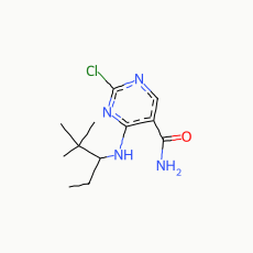 CCC(Nc1nc(Cl)ncc1C(N)=O)C(C)(C)C